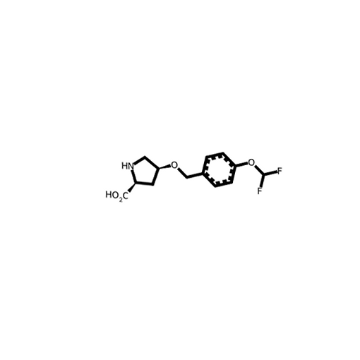 O=C(O)[C@@H]1C[C@H](OCc2ccc(OC(F)F)cc2)CN1